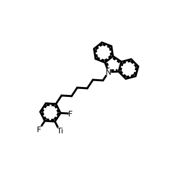 Fc1ccc(CCCCCCn2c3ccccc3c3ccccc32)c(F)[c]1[Ti]